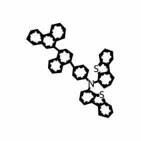 c1ccc2c(c1)cc(-c1ccc(-c3ccc(N(c4cccc5c4sc4ccccc45)c4cccc5c4sc4ccccc45)cc3)c3ccccc13)c1ccccc12